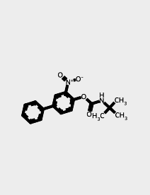 CC(C)(C)NC(=O)Oc1ccc(-c2ccccc2)cc1[N+](=O)[O-]